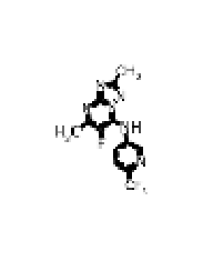 Cc1nc2nc(C)c(F)c(Nc3ccc(C(F)(F)F)nc3)n2n1